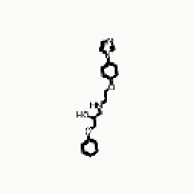 OC(CNCCOc1ccc(-n2ccnc2)cc1)COc1ccccc1